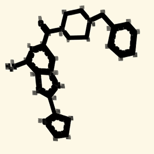 Nc1nc(C(=O)N2CCN(Cc3ccccc3)CC2)cn2nc(-c3ccco3)nc12